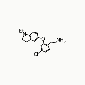 CCN1CCc2cc(Oc3cc(Cl)ccc3CCN)ccc21